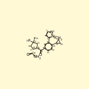 Cn1nccc1-c1cc(C(=O)N2CC(F)(F)C[C@H]2C(N)=O)ccc1C1CC1